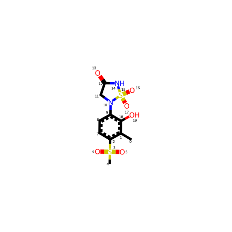 Cc1c(S(C)(=O)=O)ccc(N2CC(=O)NS2(=O)=O)c1O